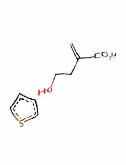 C=C(CCO)C(=O)O.c1ccsc1